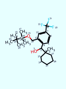 CC1(C(O)c2ccc(C(F)(F)F)cc2CO[Si](C)(C)C(C)(C)C)CCCCC1